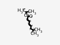 CC(C)CC=CC=CC(=O)OC(C)C